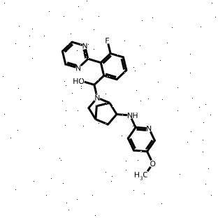 COc1ccc(NC2CC3CC2N(C(O)c2cccc(F)c2-c2ncccn2)C3)nc1